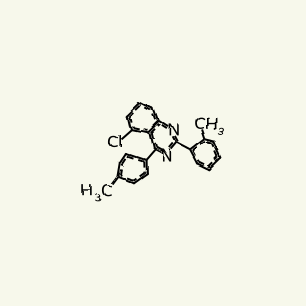 Cc1ccc(-c2nc(-c3ccccc3C)nc3cccc(Cl)c23)cc1